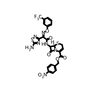 Nc1nc(/C(=N/Oc2cccc(C(F)(F)F)c2)C(=O)NC2C(=O)N3C(C(=O)OCc4ccc([N+](=O)[O-])cc4)=CCS[C@H]23)ns1